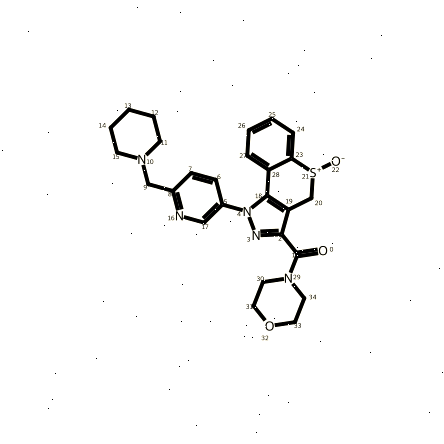 O=C(c1nn(-c2ccc(CN3CCCCC3)nc2)c2c1C[S+]([O-])c1ccccc1-2)N1CCOCC1